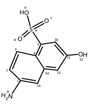 Nc1ccc2c(S(=O)(=O)O)cc(O)cc2c1